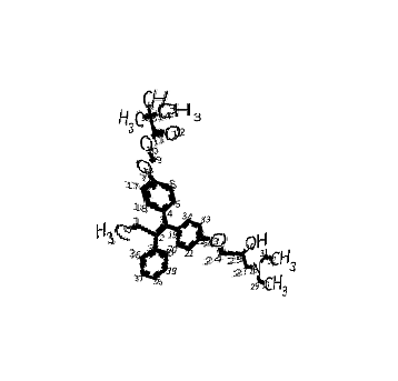 CC/C(=C(\c1ccc(OCOC(=O)C(C)(C)C)cc1)c1ccc(OCC(O)CN(CC)CC)cc1)c1ccccc1